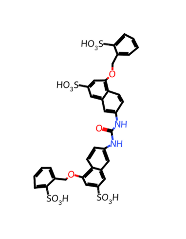 O=C(Nc1ccc2c(OCc3ccccc3S(=O)(=O)O)cc(S(=O)(=O)O)cc2c1)Nc1ccc2c(OCc3ccccc3S(=O)(=O)O)cc(S(=O)(=O)O)cc2c1